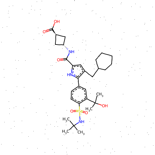 CC(C)(C)NS(=O)(=O)c1ccc(-c2[nH]c(C(=O)N[C@H]3C[C@H](C(=O)O)C3)cc2CC2CCCCC2)cc1C(C)(C)O